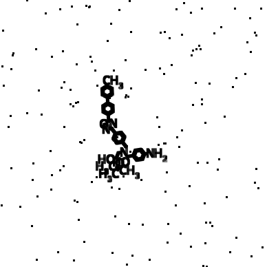 Cc1ccc(-c2ccc(-c3nc(-c4ccc(CN(CC(O)OC(C)(C)C)C(O)c5ccc(N)cc5)cc4)no3)cc2)cc1